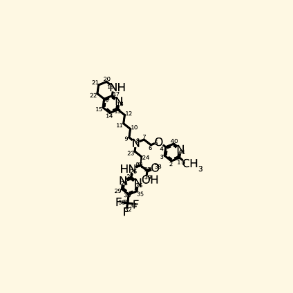 Cc1ccc(OCCN(CCCCc2ccc3c(n2)NCCC3)CC[C@H](Nc2ncc(C(F)(F)F)cn2)C(=O)O)cn1